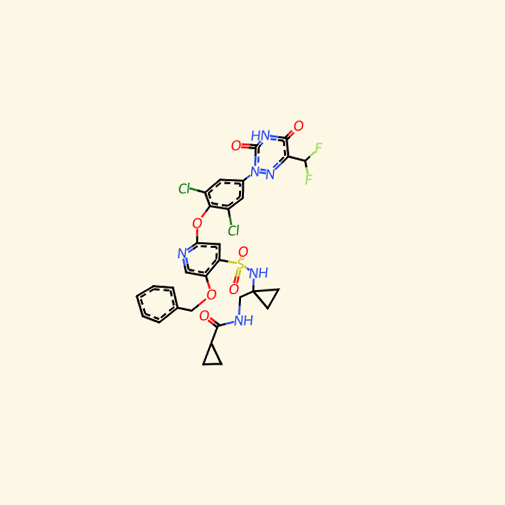 O=C(NCC1(NS(=O)(=O)c2cc(Oc3c(Cl)cc(-n4nc(C(F)F)c(=O)[nH]c4=O)cc3Cl)ncc2OCc2ccccc2)CC1)C1CC1